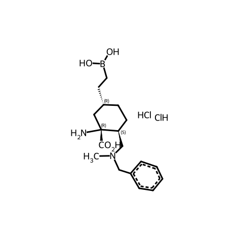 CN(Cc1ccccc1)C[C@@H]1CC[C@@H](CCB(O)O)C[C@]1(N)C(=O)O.Cl.Cl